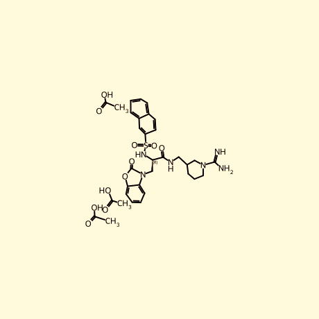 CC(=O)O.CC(=O)O.CC(=O)O.N=C(N)N1CCCC(CNC(=O)[C@@H](Cn2c(=O)oc3ccccc32)NS(=O)(=O)c2ccc3ccccc3c2)C1